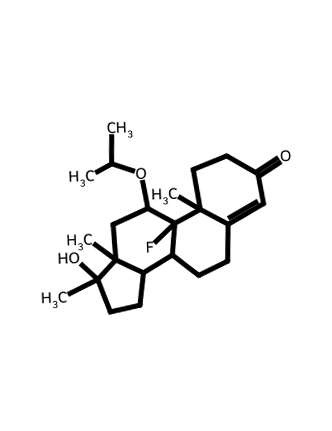 CC(C)OC1CC2(C)C(CCC2(C)O)C2CCC3=CC(=O)CCC3(C)C12F